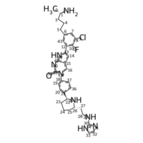 C[C@H](N)CCCc1cc(Cl)c(F)c(-c2cc3cn(-c4ccc([C@@H]5CCC[C@@H](CCNc6ncc[nH]6)N5)cc4)c(=O)nc3[nH]2)c1